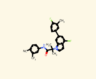 Cc1cc(-c2cc(F)c3ccn(C(C)(C)C(=O)Nc4ccc(C#N)c(C(F)(F)F)c4)c3c2)ccc1F